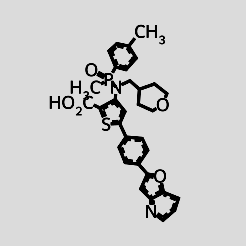 Cc1ccc(P(C)(=O)N(CC2CCOCC2)c2cc(-c3ccc(-c4cc5ncccc5o4)cc3)sc2C(=O)O)cc1